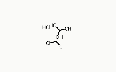 CC(O)O.Cl.ClCCl